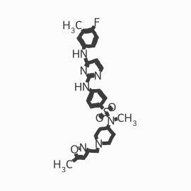 Cc1cc(CN2CCC(N(C)S(=O)(=O)c3ccc(Nc4nccc(Nc5ccc(F)c(C)c5)n4)cc3)CC2)no1